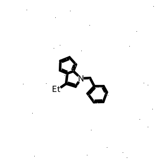 CCc1cn(Cc2ccccc2)c2ccccc12